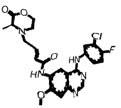 COc1cc2ncnc(Nc3ccc(F)c(Cl)c3)c2cc1NC(=O)/C=C/CN1CCOC(=O)[C@@H]1C